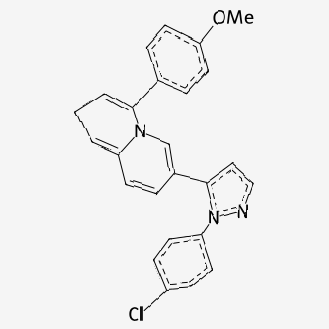 COc1ccc(C2=CCC=C3C=CC(c4ccnn4-c4ccc(Cl)cc4)=CN32)cc1